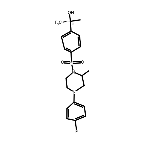 CC1CN(c2ccc(F)cc2)CCN1S(=O)(=O)c1ccc([C@](C)(O)C(F)(F)F)cc1